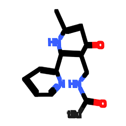 Cc1cc(=O)c(CNC(=O)C(C)(C)C)c(-c2ccccn2)[nH]1